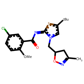 COc1ccc(Cl)cc1C(=O)N=c1sc(C(C)(C)C)cn1CC1CC(C)=NO1